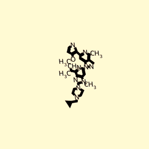 COc1ccncc1-c1cc2c(cnn2-c2cc3c(nc(N4CCN(CC5CC5)CC4)n3C)c(C(C)C)n2)c(C)n1